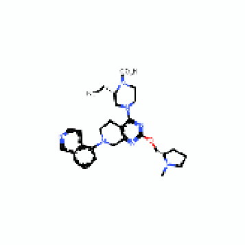 CN1CCC[C@H]1COc1nc2c(c(N3CCN(C(=O)O)[C@@H](CC#N)C3)n1)CCN(c1cccc3cnccc13)C2